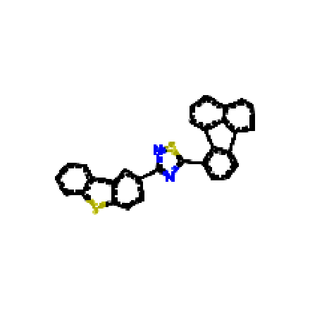 c1cc(-c2nc(-c3ccc4sc5ccccc5c4c3)ns2)c2c(c1)-c1cccc3cccc-2c13